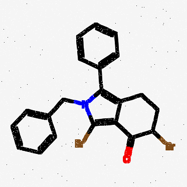 O=C1c2c(c(-c3ccccc3)n(Cc3ccccc3)c2Br)CCC1Br